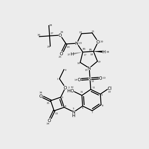 CCOc1c(Nc2ccc(Cl)c(S(=O)(=O)N3C[C@@H]4[C@@H](C3)OCCN4C(=O)OC(C)(C)C)c2O)c(=O)c1=O